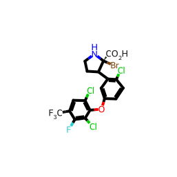 O=C(O)[C@@]1(Br)NCCC1c1cc(Oc2c(Cl)cc(C(F)(F)F)c(F)c2Cl)ccc1Cl